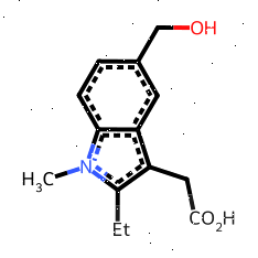 CCc1c(CC(=O)O)c2cc(CO)ccc2n1C